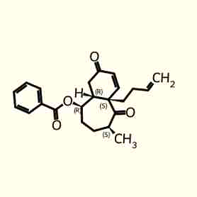 C=CCC[C@]12C=CC(=O)C[C@H]1[C@H](OC(=O)c1ccccc1)CC[C@H](C)C2=O